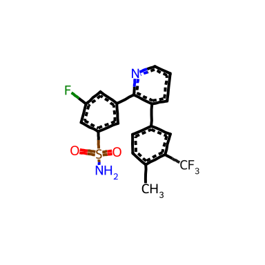 Cc1ccc(-c2cccnc2-c2cc(F)cc(S(N)(=O)=O)c2)cc1C(F)(F)F